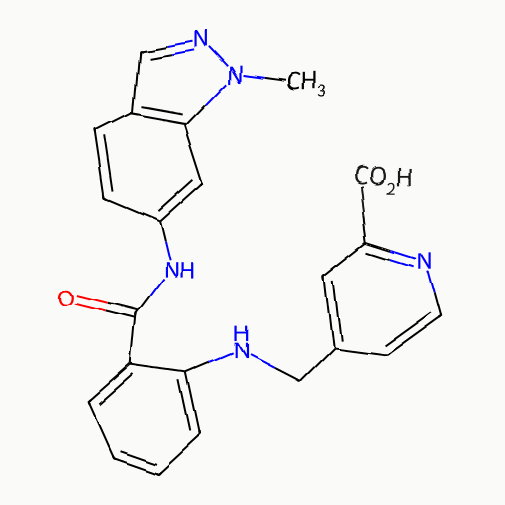 Cn1ncc2ccc(NC(=O)c3ccccc3NCc3ccnc(C(=O)O)c3)cc21